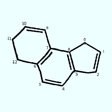 [CH]1C=Cc2ccc3c(c21)C=CCC3